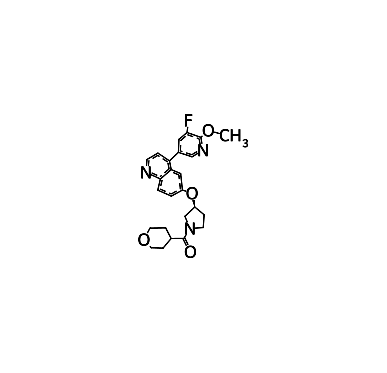 COc1ncc(-c2ccnc3ccc(O[C@H]4CCN(C(=O)C5CCOCC5)C4)cc23)cc1F